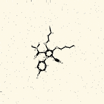 CCCCOc1c(OCCCC)c(C(=O)N(C)C)n(-c2ccc(F)cc2)c1C#N